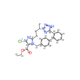 CCCCc1nc(Cl)c(C(=O)OCC)n1Cc1ccc(-c2ccccc2-c2nnn[nH]2)cc1